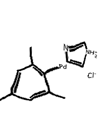 C1=C[NH2+]C=N1.Cc1cc(C)[c]([Pd])c(C)c1.[Cl-]